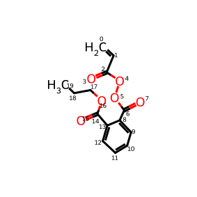 C=CC(=O)OOC(=O)c1ccccc1C(=O)OCCC